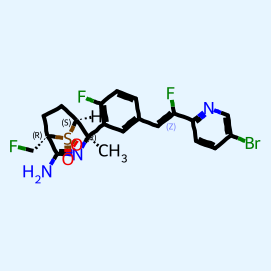 C[C@]1(c2cc(/C=C(\F)c3ccc(Br)cn3)ccc2F)N=C(N)[C@@]2(CF)CC[C@@H]1S2(=O)=O